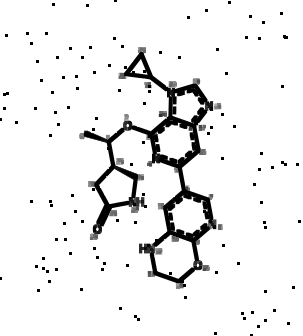 C[C@@H](Oc1nc(-c2cnc3c(c2)NCCO3)cc2ncn(C3CC3)c12)[C@H]1CNC(=O)C1